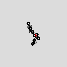 c1ccc(-c2nc3cc4c(cc3o2)oc2cc(-c3ccc(N(c5ccc6c(c5)oc5ccccc56)c5ccccc5-c5ccccc5)cc3)ccc24)cc1